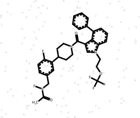 CC(=O)N(F)Cc1ccc(F)c(C2CCN(C(=O)c3cn(CCOC(F)(F)F)c4cccc(-c5ccccc5)c34)CC2)c1